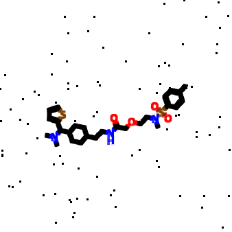 Cc1ccc(S(=O)(=O)N(C)CCOCC(=O)NCCC2CCC(C(c3cccs3)N(C)C)CC2)cc1